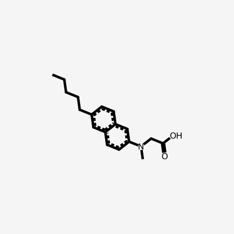 CCCCCc1ccc2cc(N(C)CC(=O)O)ccc2c1